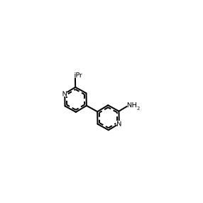 CC(C)c1cc(-c2ccnc(N)c2)ccn1